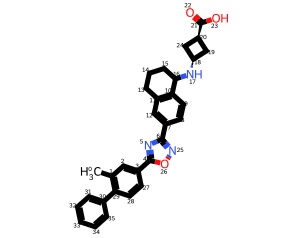 Cc1cc(-c2nc(-c3ccc4c(c3)CCCC4N[C@H]3C[C@H](C(=O)O)C3)no2)ccc1-c1ccccc1